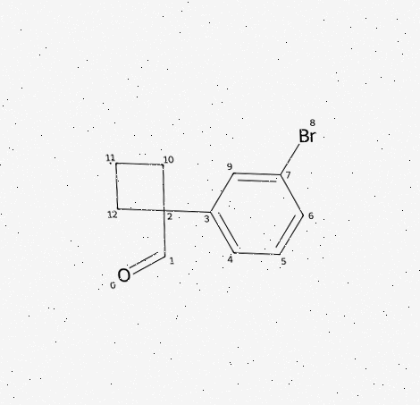 O=CC1(c2cccc(Br)c2)C[CH]C1